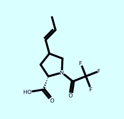 CC=CC1C[C@@H](C(=O)O)N(C(=O)C(F)(F)F)C1